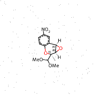 COC(OC)[C@@]1(C)Oc2ccc([N+](=O)[O-])cc2[C@H]2O[C@H]21